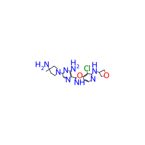 CC1(N)CCN(c2cnc(C(=N)Oc3ccnc(NC4COC4)c3Cl)c(N)n2)CC1